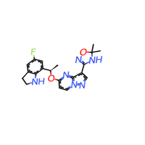 C[C@@H](Oc1ccn2ncc(C3=NOC(C)(C)N3)c2n1)c1cc(F)cc2c1NCC2